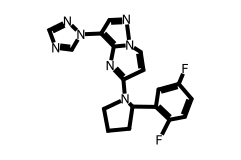 Fc1ccc(F)c(C2CCCN2c2ccn3ncc(-n4cncn4)c3n2)c1